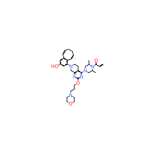 C=CC(=O)N1C(C)CN(c2nc(OCCCN3CCOCC3)nc3c2CCN(c2cc(O)cc4c2/C=C\CCC=C4)C3)CC1C